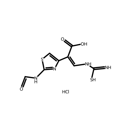 Cl.N=C(S)N/C=C(\C(=O)O)c1csc(NC=O)n1